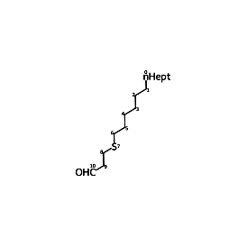 CCCCCCCCCCCCCSCCC=O